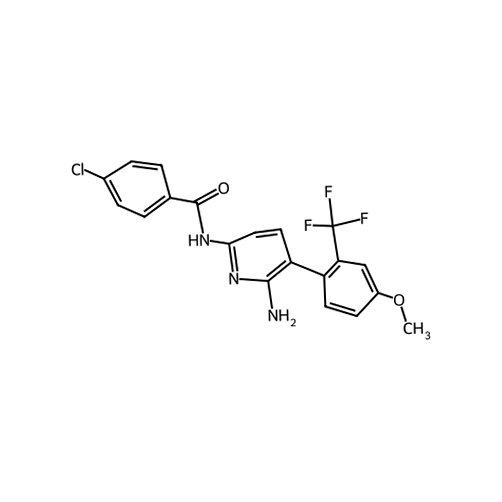 COc1ccc(-c2ccc(NC(=O)c3ccc(Cl)cc3)nc2N)c(C(F)(F)F)c1